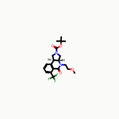 COCCN1C(=O)c2c(cccc2C(F)(F)F)[C@H]2CN(C(=O)OC(C)(C)C)C[C@@H]21